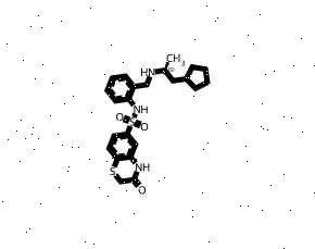 C[C@@H](CC1CCCC1)NCc1ccccc1NS(=O)(=O)c1ccc2c(c1)NC(=O)CS2